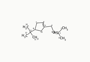 C[SiH](C)OCC1=[C]CC(C(C)(C)C)C1